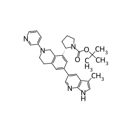 Cc1c[nH]c2ncc(-c3cc4c(c([C@@H]5CCCN5C(=O)OC(C)(C)C)c3)CN(c3cccnc3)CC4)cc12